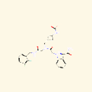 NC(=O)c1nn(CC(=O)N(CC(=O)NCc2cccc(Cl)c2F)CC2CC(NC(=O)O)C2)c2ccccc12